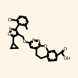 Cc1cccc(Cl)c1-c1noc(C2CC2)c1COc1cc2c(nn1)Oc1cc(C(=O)O)ccc1CC2